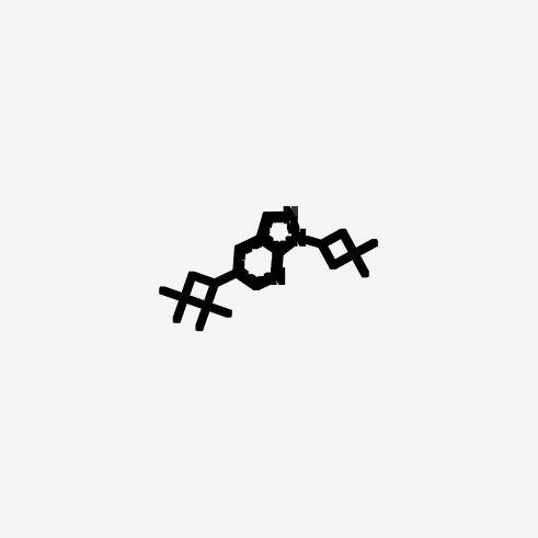 CC1(C)CC(n2ncc3cc(C4CC(C)(C)C4(C)C)cnc32)C1